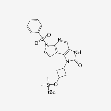 CC(C)(C)[Si](C)(C)OC1CC(n2c(=O)[nH]c3cnc4c(ccn4S(=O)(=O)c4ccccc4)c32)C1